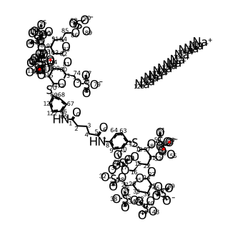 O=C(CCCC(=O)Nc1ccc(S[C@@H]2O[C@H](COS(=O)(=O)[O-])[C@@H](O[C@H]3O[C@H](COS(=O)(=O)[O-])[C@@H](OS(=O)(=O)[O-])[C@H](OS(=O)(=O)[O-])[C@H]3OS(=O)(=O)[O-])[C@H](OS(=O)(=O)[O-])[C@H]2OS(=O)(=O)[O-])cc1)Nc1ccc(S[C@@H]2O[C@H](COS(=O)(=O)[O-])[C@@H](O[C@H]3O[C@H](COS(=O)(=O)[O-])[C@@H](OS(=O)(=O)[O-])[C@H](OS(=O)(=O)[O-])[C@H]3OS(=O)(=O)[O-])[C@H](OS(=O)(=O)[O-])[C@H]2OS(=O)(=O)[O-])cc1.[Na+].[Na+].[Na+].[Na+].[Na+].[Na+].[Na+].[Na+].[Na+].[Na+].[Na+].[Na+].[Na+].[Na+]